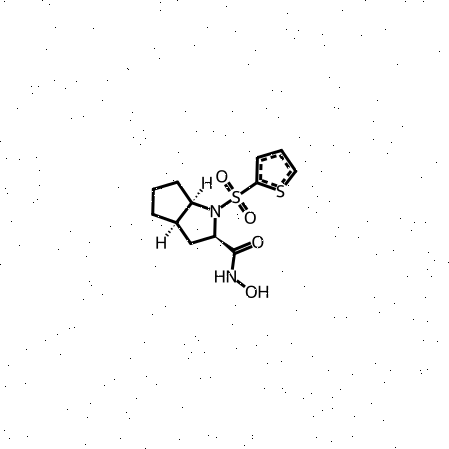 O=C(NO)[C@H]1C[C@H]2CCC[C@H]2N1S(=O)(=O)c1cccs1